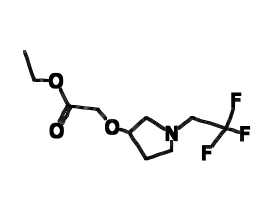 CCOC(=O)COC1CCN(CC(F)(F)F)C1